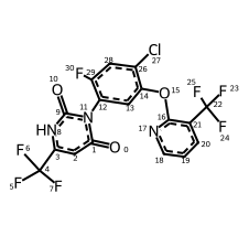 O=c1cc(C(F)(F)F)[nH]c(=O)n1-c1cc(Oc2ncccc2C(F)(F)F)c(Cl)cc1F